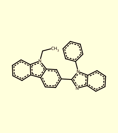 CCn1c2ccccc2c2ccc(-c3nc4ccccc4n3-c3ccccc3)cc21